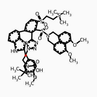 COc1ccc(CN(Cc2ccc(OC)cc2)S(=O)(=O)c2c(S(=O)(=O)CC[Si](C)(C)C)ccc(-c3cccc4[nH]c(CCN(C(=O)O)C(C)(C)C)nc34)c2-c2nnn(Cc3ccc(OC)cc3)n2)cc1